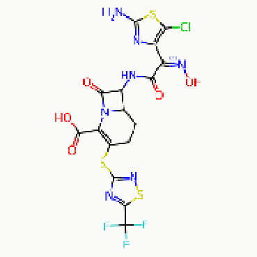 Nc1nc(/C(=N/O)C(=O)NC2C(=O)N3C(C(=O)O)=C(Sc4nsc(C(F)(F)F)n4)CCC23)c(Cl)s1